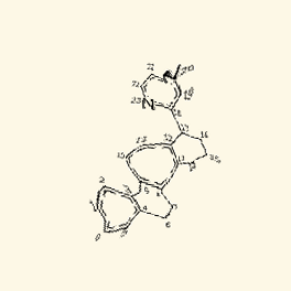 c1ccc2c(c1)CCc1c-2ccc2c1CCCC2c1cnccn1